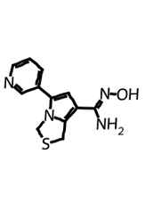 NC(=NO)c1cc(-c2cccnc2)n2c1CSC2